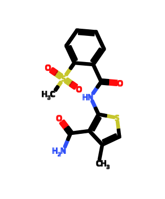 Cc1csc(NC(=O)c2ccccc2S(C)(=O)=O)c1C(N)=O